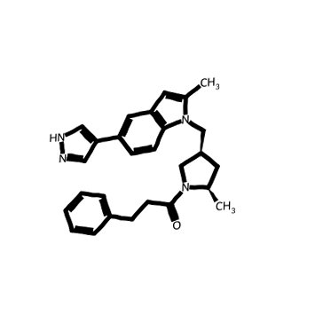 Cc1cc2cc(-c3cn[nH]c3)ccc2n1C[C@H]1C[C@@H](C)N(C(=O)CCc2ccccc2)C1